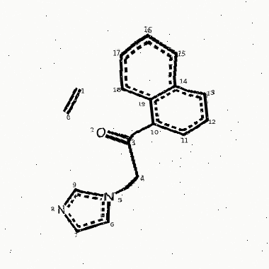 C=C.O=C(Cn1ccnc1)c1cccc2ccccc12